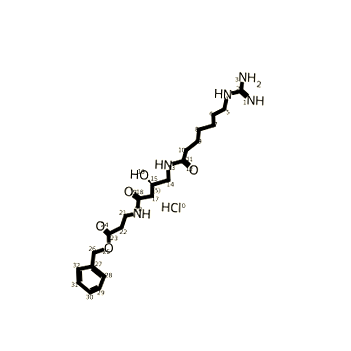 Cl.N=C(N)NCCCCCCC(=O)NC[C@@H](O)CC(=O)NCCC(=O)OCc1ccccc1